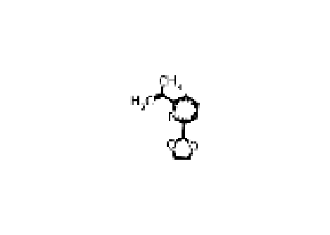 C=C(C)c1cccc(C2OCCO2)n1